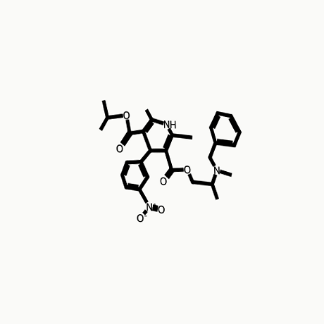 CC1=C(C(=O)OCC(C)N(C)Cc2ccccc2)C(c2cccc([N+](=O)[O-])c2)C(C(=O)OC(C)C)=C(C)N1